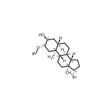 CC(=O)[C@H]1CC[C@H]2[C@@H]3CC[C@H]4C[C@H](O)[C@@H](OC(C)C)C[C@]4(C)[C@H]3CC[C@]12C